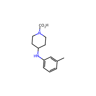 Cc1cccc(NC2CCN(C(=O)O)CC2)c1